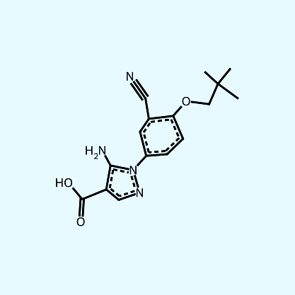 CC(C)(C)COc1ccc(-n2ncc(C(=O)O)c2N)cc1C#N